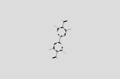 Cc1cc(-c2cc(C)c(C(=O)O)c(C)n2)nc(C)c1C(=O)O